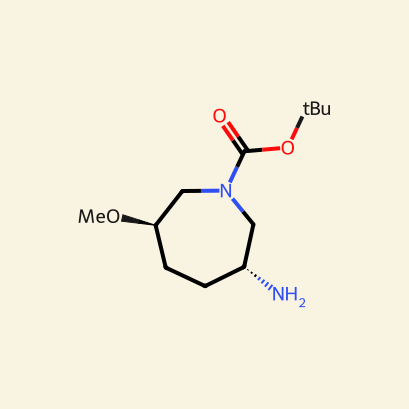 CO[C@@H]1CC[C@@H](N)CN(C(=O)OC(C)(C)C)C1